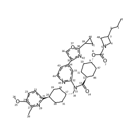 CCCC1CN(C(=O)O[C@H]2CC[C@H](C(=O)N(C[C@H]3CC[C@H](c4ccc(OC)c(C)n4)CC3)c3cc(-c4coc(C5CC5)n4)ccn3)CC2)C1